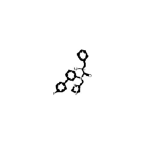 N[C@@H](Cc1ccccc1)C(=O)N(Cc1cscn1)c1cccc(-c2ccc(F)cc2)c1